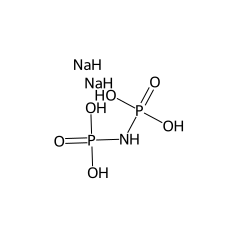 O=P(O)(O)NP(=O)(O)O.[NaH].[NaH]